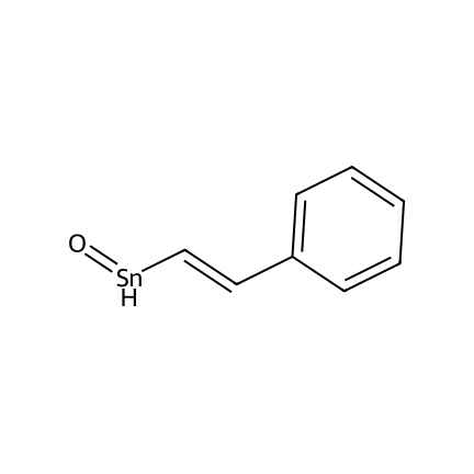 [O]=[SnH][CH]=Cc1ccccc1